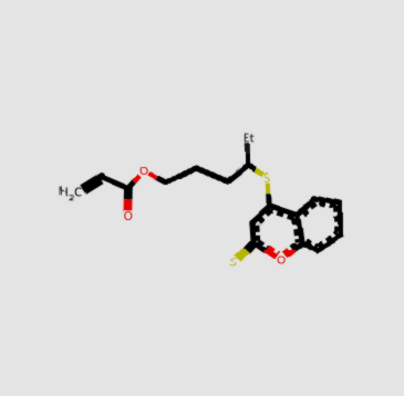 C=CC(=O)OCCCC(CC)Sc1cc(=S)oc2ccccc12